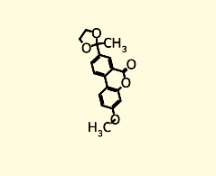 COc1ccc2c(c1)oc(=O)c1cc(C3(C)OCCO3)ccc12